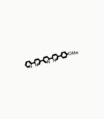 COc1ccc(-c2ccc(-c3ccc(-c4ccc(-c5ccccn5)nc4)cn3)nc2)cc1